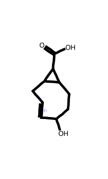 O=C(O)C1C2C/C=C/C(O)CCC21